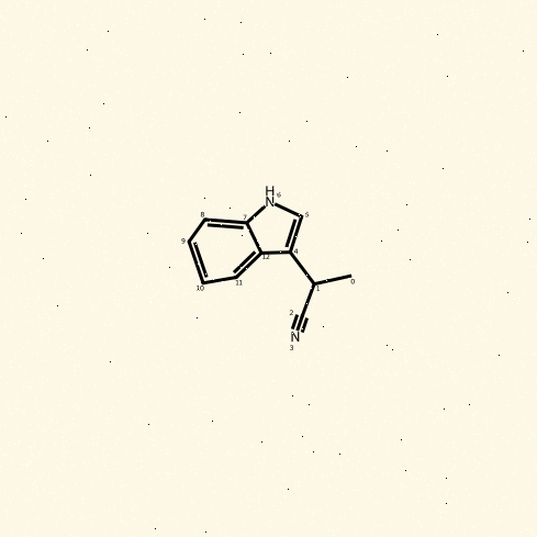 CC(C#N)c1c[nH]c2ccccc12